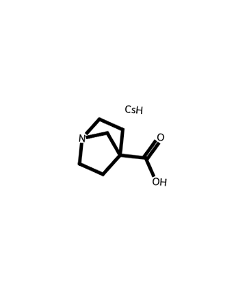 O=C(O)C12CCN(CC1)C2.[CsH]